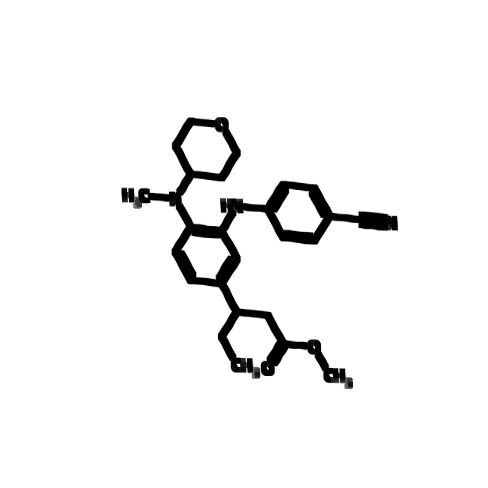 CCC(CC(=O)OC)c1ccc(N(C)C2CCOCC2)c(Nc2ccc(C#N)cc2)c1